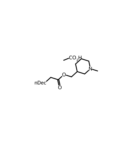 CC(=O)O.CCCCCCCCCCCC(=O)OCC1CCCN(C)C1